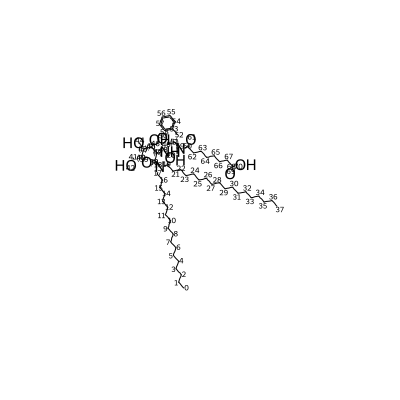 CCCCCCCCCCCCCCCCCCN(C(=O)CCCCCCCCCCCCCCCCC)[C@@H]1O[C@H](CO)[C@@H](O)[C@H](O)[C@H]1NC(=O)[C@H](Cc1ccccc1)NC(=O)CCCCCCC(=O)O